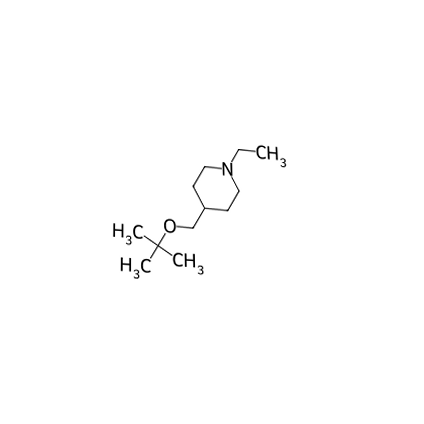 CCN1CCC(COC(C)(C)C)CC1